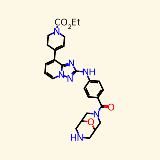 CCOC(=O)N1CC=C(c2cccn3nc(Nc4ccc(C(=O)N5CC6CNCC(C5)O6)cc4)nc23)CC1